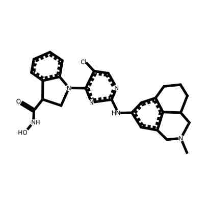 CN1Cc2cc(Nc3ncc(Cl)c(N4CC(C(=O)NO)c5ccccc54)n3)cc3c2C(CCC3)C1